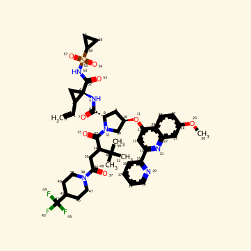 C=CC1C[C@]1(NC(=O)[C@@H]1C[C@@H](Oc2cc(-c3ccccn3)nc3cc(OC)ccc23)CN1C(=O)C(CC(=O)N1CCC(C(F)(F)F)CC1)C(C)(C)C)C(=O)NS(=O)(=O)C1CC1